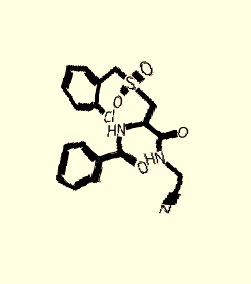 N#CCNC(=O)C(CS(=O)(=O)Cc1ccccc1Cl)NC(=O)c1ccccc1